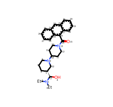 CCN(CC)C(O)[C@@H]1CCCN(C2CCN(C(=O)c3c4ccccc4cc4ccccc34)CC2)C1